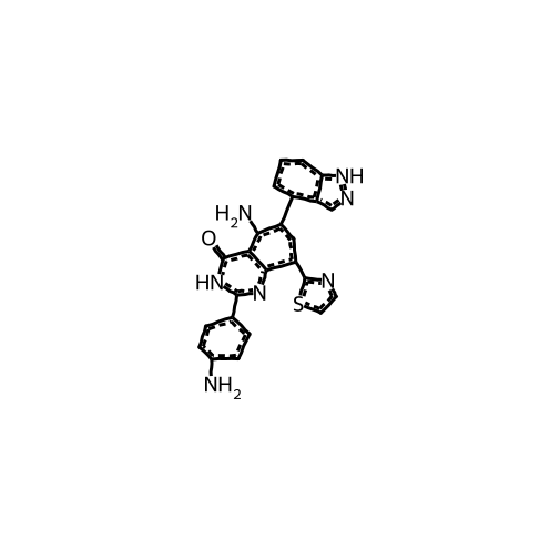 Nc1ccc(-c2nc3c(-c4nccs4)cc(-c4cccc5[nH]ncc45)c(N)c3c(=O)[nH]2)cc1